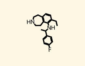 CCc1ccc2c(c1NC(C)c1ccc(F)cc1)CCNCC2